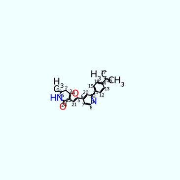 CC1Cc2oc(-c3ccnc(-c4ccc(C(C)C)cc4)c3)cc2C(=O)N1